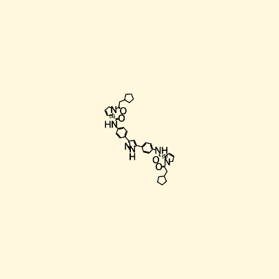 O=C(Nc1ccc(-c2cc(-c3ccc(NC(=O)[C@@H]4C=CCN4C(=O)CC4CCCC4)cc3)[nH]n2)cc1)[C@@H]1C=CCN1C(=O)CC1CCCC1